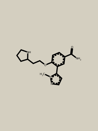 Cn1nccc1-c1cc(C(N)=O)ccc1OCCC1CCCN1